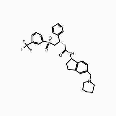 O=C(C[C@H](CS(=O)(=O)c1cccc(C(F)(F)F)c1)c1ccccc1)N[C@@H]1CCc2cc(CN3CCCCC3)ccc21